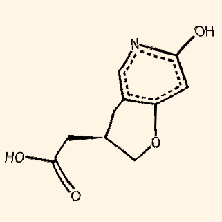 O=C(O)C[C@@H]1COc2cc(O)ncc21